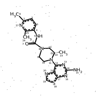 Cc1ccc(NC(=O)N2CCN(c3nc(N)nc4scnc34)[C@@H](C)C2)c(C)n1